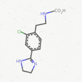 O=C(O)NCCc1ccc(C2=NCCN2)cc1Cl